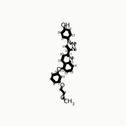 COCCOc1cccc(Oc2cccc3nc(-c4cn(-c5ccc(O)cc5)nn4)ccc23)c1